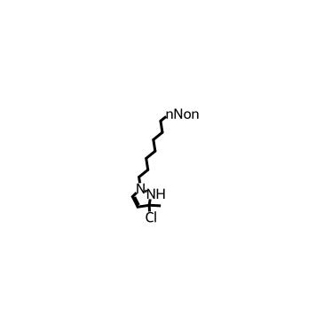 CCCCCCCCCCCCCCCCN1C=CC(C)(Cl)N1